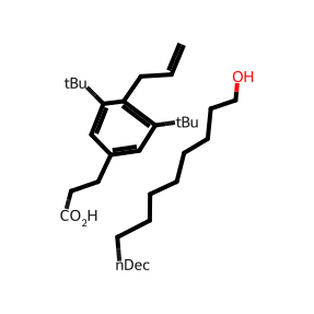 C=CCc1c(C(C)(C)C)cc(CCC(=O)O)cc1C(C)(C)C.CCCCCCCCCCCCCCCCCCO